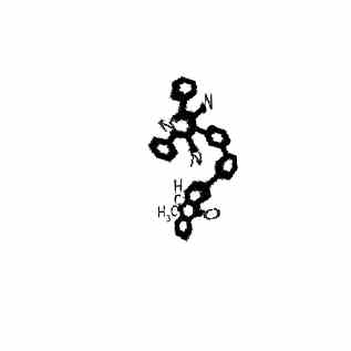 CC1(C)c2ccccc2C(=O)c2cc(-c3cccc(-c4cccc(-c5c(C#N)c(-c6ccccc6)nc(-c6ccccc6)c5C#N)c4)c3)ccc21